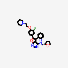 Fc1cc(-c2oc3ncnc(NC[C@@H]4CCCO4)c3c2-c2ccccc2)ccc1OCCN1CCCCC1